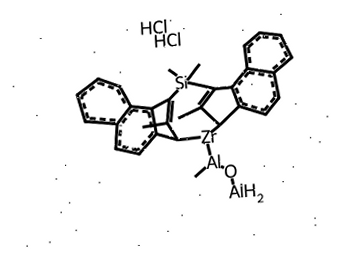 CC1=C2c3c(ccc4ccccc34)[CH]1[Zr]([Al]([CH3])[O][AlH2])[CH]1C(C)=C(c3c1ccc1ccccc31)[Si]2(C)C.Cl.Cl